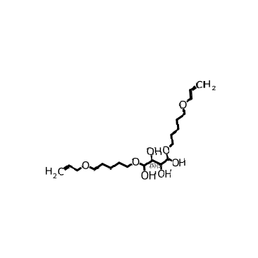 C=CCOCCCCCOC(O)[C@@H](O)[C@H](O)C(O)OCCCCCOCC=C